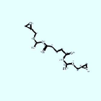 CCC(OCC1CO1)OC(=O)CCCC(=O)OC(CC)OCC1CO1